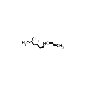 C=CC=C=N/C=C\CCC(C)C